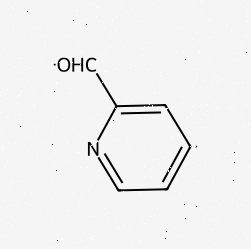 O=[C]c1c[c]ccn1